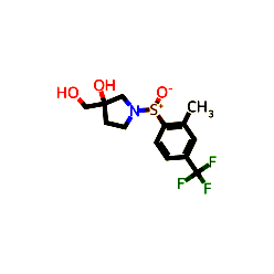 Cc1cc(C(F)(F)F)ccc1[S+]([O-])N1CCC(O)(CO)C1